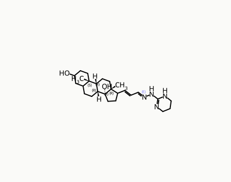 C[C@]12CCC(O)CC1CC[C@@H]1[C@H]2CC[C@]2(C)C(C=C/C=N/NC3=NCCCN3)CC[C@@]12O